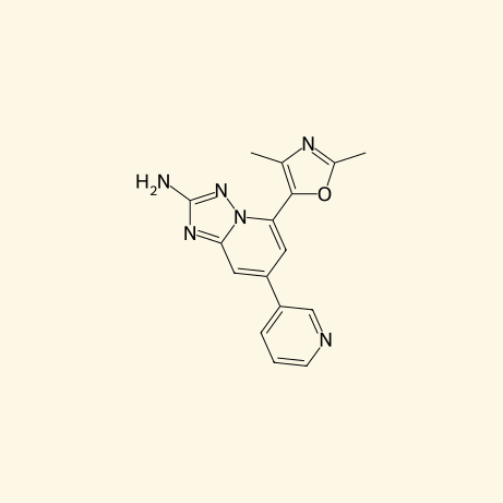 Cc1nc(C)c(-c2cc(-c3cccnc3)cc3nc(N)nn23)o1